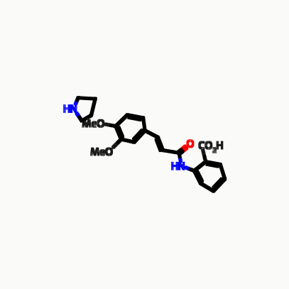 C1CCNC1.COc1ccc(C=CC(=O)Nc2ccccc2C(=O)O)cc1OC